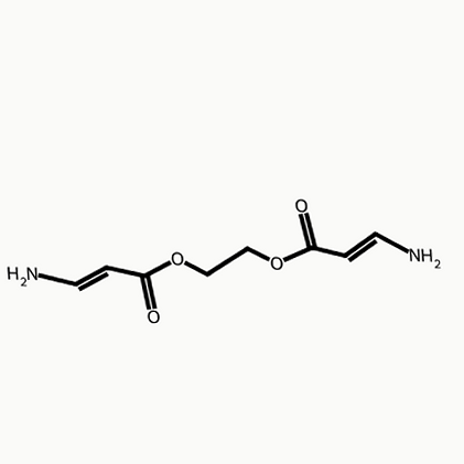 NC=CC(=O)OCCOC(=O)C=CN